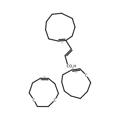 C1=C\CCCCCCCC/1.C1=C\CCCCCCCC/1.O=C(O)C=C/C1=C/CCCCCCCC1